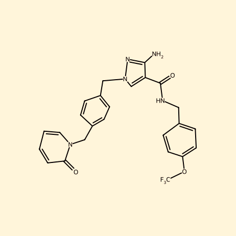 Nc1nn(Cc2ccc(Cn3ccccc3=O)cc2)cc1C(=O)NCc1ccc(OC(F)(F)F)cc1